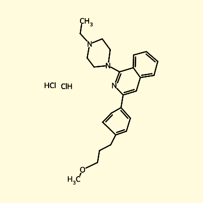 CCN1CCN(c2nc(-c3ccc(CCCOC)cc3)cc3ccccc23)CC1.Cl.Cl